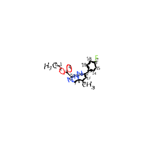 CCOC(=O)c1ncc2c(C)cc(-c3ccc(F)cc3)nn12